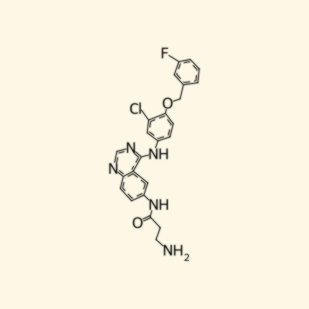 NCCC(=O)Nc1ccc2ncnc(Nc3ccc(OCc4cccc(F)c4)c(Cl)c3)c2c1